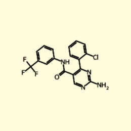 Nc1ncc(C(=O)Nc2cccc(C(F)(F)F)c2)c(-c2ccccc2Cl)n1